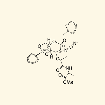 COC(=O)C(C)NC(=O)C(C)OC1[C@@H](N=[N+]=[N-])[C@H](OCc2ccccc2)O[C@@H]2CO[C@H](c3ccccc3)O[C@@H]12